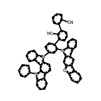 N#Cc1ccccc1-c1cccc(-c2ccc(-n3c4ccccc4c4c3ccc3c5ccccc5n(-c5ccccc5)c34)cc2-n2c3ccccc3c3cc4c(cc32)oc2ccccc24)c1C#N